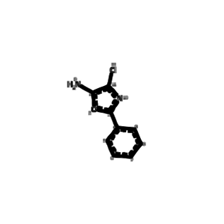 Nc1oc(-c2ccccc2)nc1Cl